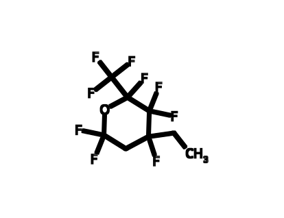 CCC1(F)CC(F)(F)OC(F)(C(F)(F)F)C1(F)F